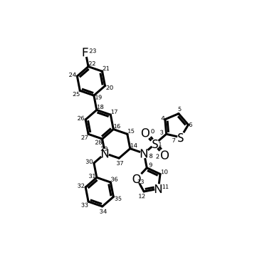 O=S(=O)(c1cccs1)N(c1cnco1)C1Cc2cc(-c3ccc(F)cc3)ccc2N(Cc2ccccc2)C1